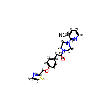 Cc1csc(COc2ccc(CC(=O)N3CCN(c4ncccc4C#N)CC3)cc2)n1